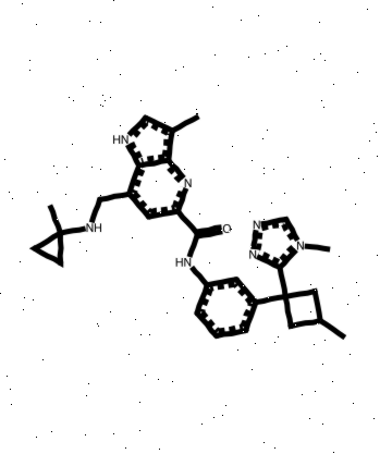 Cc1c[nH]c2c(CNC3(C)CC3)cc(C(=O)Nc3cccc(C4(c5nncn5C)CC(C)C4)c3)nc12